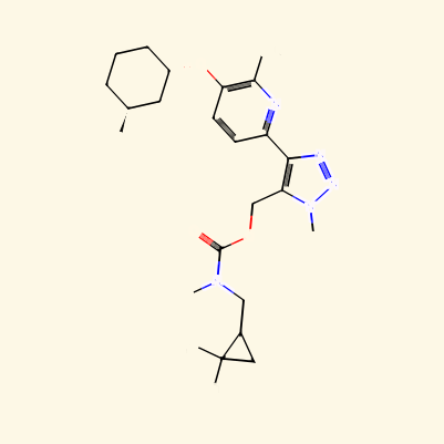 Cc1nc(-c2nnn(C)c2COC(=O)N(C)CC2CC2(C)C)ccc1O[C@H]1CCC[C@H](C)C1